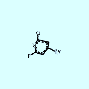 CC(C)c1cc(F)nc(Cl)c1